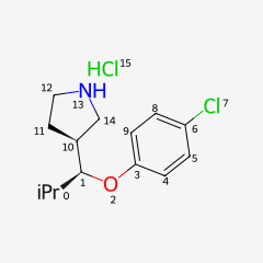 CC(C)[C@H](Oc1ccc(Cl)cc1)[C@H]1CCNC1.Cl